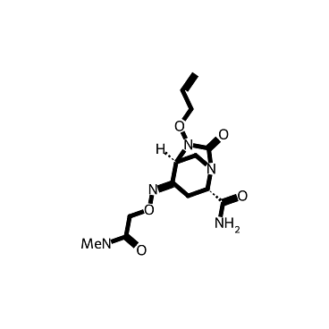 C=CCON1C(=O)N2C[C@H]1C(=NOCC(=O)NC)C[C@H]2C(N)=O